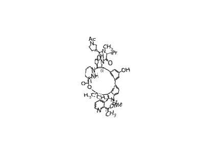 CCn1c(-c2cccnc2[C@H](C)OC)c2c3cc(ccc31)-c1cc(O)cc(c1)C[C@H](NC(=O)C(C(C)C)N(C)C(=O)[C@H]1CCN(C(C)=O)C1)C(=O)N1CCC[C@H](N1)C(=O)OCC(C)(C)C2